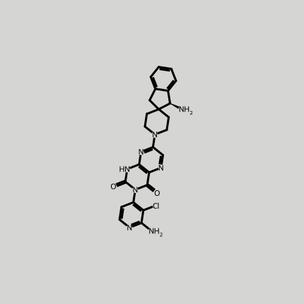 Nc1nccc(-n2c(=O)[nH]c3nc(N4CCC5(CC4)Cc4ccccc4[C@H]5N)cnc3c2=O)c1Cl